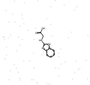 O=C(O)CNc1nc2ccccc2[se]1